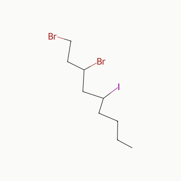 CCCCC(I)CC(Br)CCBr